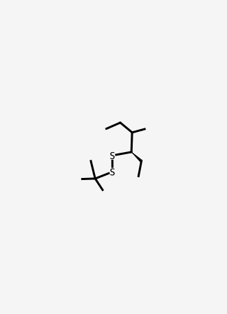 CCC(C)[C@@H](CC)SSC(C)(C)C